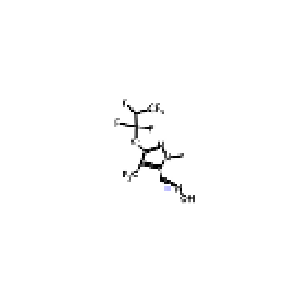 Cn1nc(OC(F)(F)C(F)C(F)(F)F)c(C(F)(F)F)c1/C=N/O